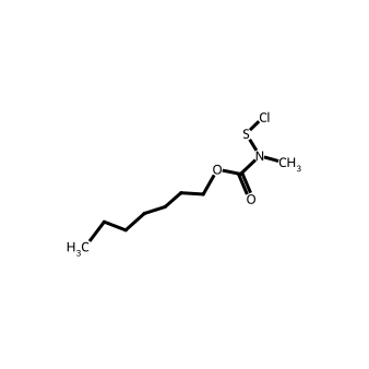 CCCCCCCOC(=O)N(C)SCl